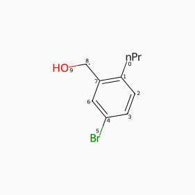 CCCc1ccc(Br)cc1[CH]O